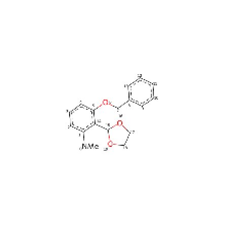 CNc1cccc(OCc2ccccc2)c1C1OCCO1